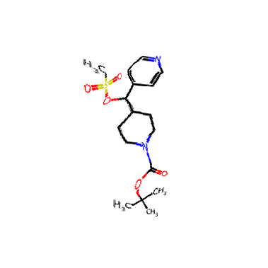 CC(C)(C)OC(=O)N1CCC(C(OS(C)(=O)=O)c2ccncc2)CC1